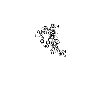 CC[C@H](C)[C@H](NC(=O)[C@H](Cc1ccc(O)cc1)NC(=O)[C@@H](NC(=O)[C@H](CCCNC(=N)N)NC(=O)CNC)C(C)C)C(=O)N[C@@H](Cc1c[nH]cn1)C(=O)N1CCC[C@H]1C(=O)N[C@@H](CSCc1ccccc1)C(=O)O